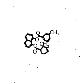 Cc1cccc(C(=O)Oc2cccc3cccc(OC(=O)C4CCC=CC4C)c23)c1